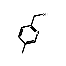 Cc1ccc(CS)nc1